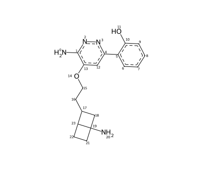 Nc1nnc(-c2ccccc2O)cc1OCCC1CC2(N)CCC12